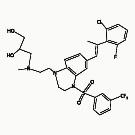 C/C(=C\c1ccc2c(c1)N(S(=O)(=O)c1cccc(C(F)(F)F)c1)CCN2CCN(C)CC(O)CO)c1c(F)cccc1Cl